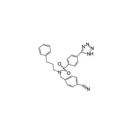 N#Cc1ccc(CN(CCCc2ccccc2)S(=O)(=O)c2ccc(-c3nnn[nH]3)cc2)cc1